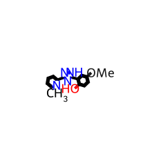 COc1ccc(O)c(-c2nc(-c3cccc(C)n3)n[nH]2)c1